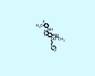 C=CC(=O)Nc1cc2c(Nc3ccc(F)c(C)c3)ncnc2cc1OCCCN1CCOCC1